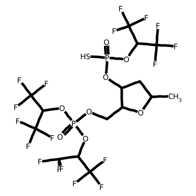 CC1CC(OP(=O)(S)OC(C(F)(F)F)C(F)(F)F)C(COP(=O)(OC(C(F)(F)F)C(F)(F)F)OC(C(F)(F)F)C(F)(F)F)O1